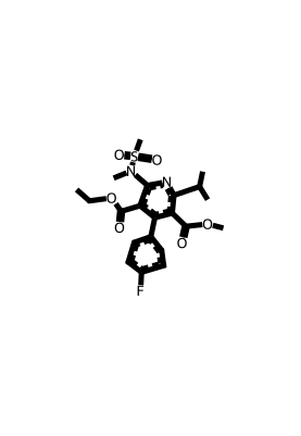 CCOC(=O)c1c(N(C)S(C)(=O)=O)nc(C(C)C)c(C(=O)OC)c1-c1ccc(F)cc1